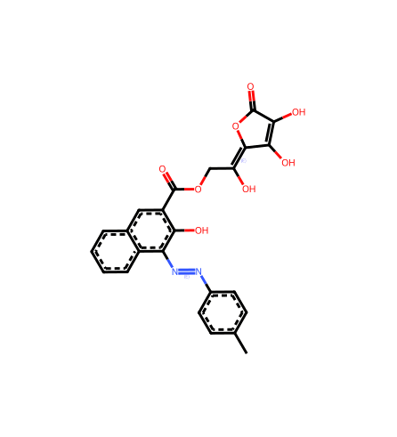 Cc1ccc(/N=N/c2c(O)c(C(=O)OC/C(O)=C3\OC(=O)C(O)=C3O)cc3ccccc23)cc1